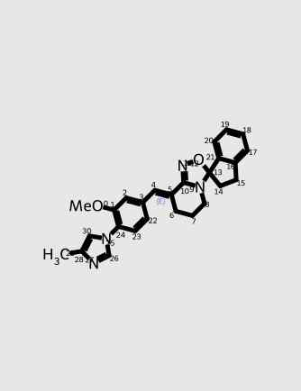 COc1cc(/C=C2\CCCN3C2=NOC32CCc3ccccc32)ccc1-n1cnc(C)c1